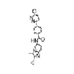 Cc1c(C2CC2)nc2ccc(NC(=O)c3ccc(-c4ccc(Cl)nn4)cc3)cn12